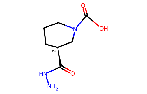 NNC(=O)[C@H]1CCCN(C(=O)O)C1